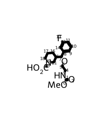 COC(=O)NCCOC(c1cccc(F)c1)C1CCCN(C(=O)O)C1